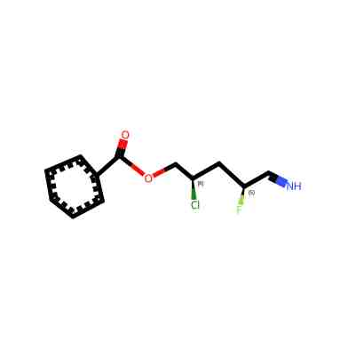 N=C[C@@H](F)C[C@@H](Cl)COC(=O)c1ccccc1